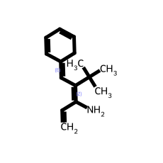 C=C/C(N)=C(\C=C1\C=CC=CC1)C(C)(C)C